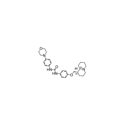 O=C(Nc1ccc(OC[C@@H]2CCCN3CCCC[C@H]23)cc1)Nc1ccc(N2CCOCC2)cc1